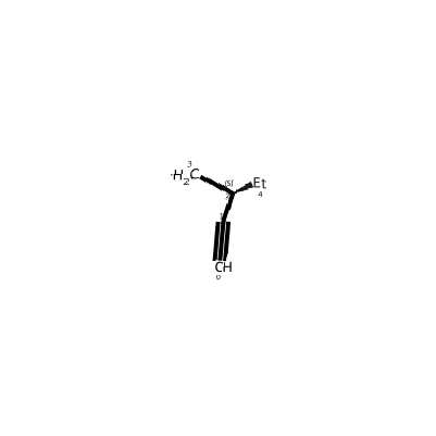 C#C[C@@H]([CH2])CC